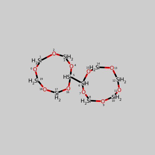 O1[SiH2]O[SiH2]O[SiH]([SiH]2O[SiH2]O[SiH2]O[SiH2]O[SiH2]O2)O[SiH2]O[SiH2]1